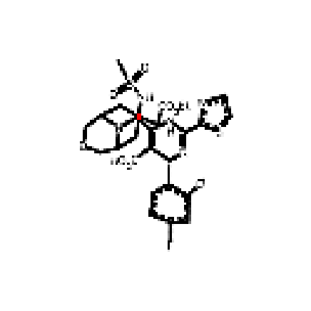 CCOC(=O)CC1(NS(C)(=O)=O)CC2COCC(C1)N2CC1=C(C(=O)O)[C@H](c2ccc(F)cc2Cl)N=C(c2nccs2)N1